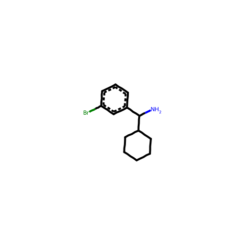 NC(c1cccc(Br)c1)C1CCCCC1